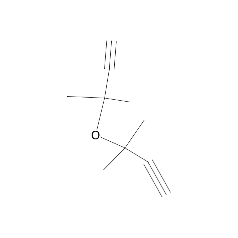 C#CC(C)(C)OC(C)(C)C#C